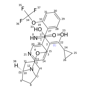 N=C(/C(COC1CC2CC[C@@H](C1)N2c1ccc(C(=O)O)cn1)=C(\O)C1CC1)c1ccccc1OC(F)(F)F